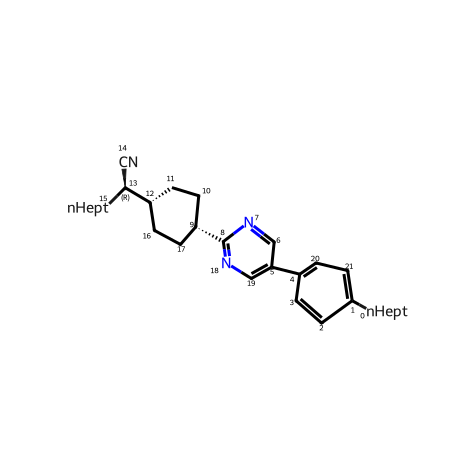 CCCCCCCc1ccc(-c2cnc([C@H]3CC[C@@H]([C@H](C#N)CCCCCCC)CC3)nc2)cc1